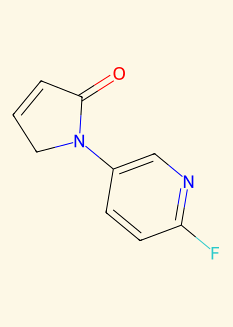 O=C1C=CCN1c1ccc(F)nc1